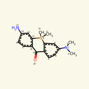 CN(C)c1ccc2c(c1)S(C)(C)c1cc(N)ccc1C2=O